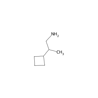 CC(CN)C1CCC1